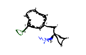 NC1(Cc2cccc(Cl)c2)CC1